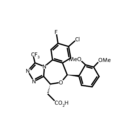 COc1cccc([C@H]2O[C@H](CC(=O)O)c3nnc(C(F)(F)F)n3-c3cc(F)c(Cl)cc32)c1OC